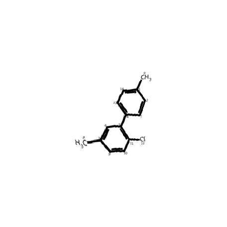 Cc1ccc(-c2cc(C)ccc2Cl)cc1